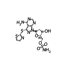 Nc1ncnc2c1c(Sc1nccs1)nn2[C@H]1C[C@H](O)[C@@H](COS(N)(=O)=O)O1